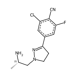 C[C@H](N)CN1CCC(c2cc(F)c(C#N)c(Cl)c2)=N1